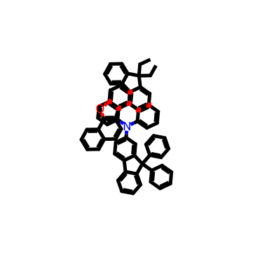 CCC1(CC)c2ccccc2-c2c(-c3ccccc3N(c3ccc4c(c3)C(c3ccccc3)(c3ccccc3)c3ccccc3-4)c3ccccc3-c3cccc4oc5c6ccccc6ccc5c34)cccc21